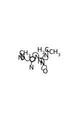 C=C(C)N1CCc2c(c(N3CCCc4cc(Cc5cnn(C)c5)c(C#N)cc43)nn2C2CCOCC2)C1